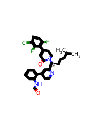 CC(C)CCC[C@@H](c1cc(-c2ccccc2NC=O)ccn1)N1CCC(c2c(F)ccc(Cl)c2F)=CC1=O